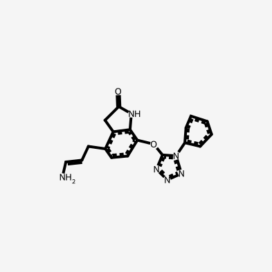 NC=CCc1ccc(Oc2nnnn2-c2ccccc2)c2c1CC(=O)N2